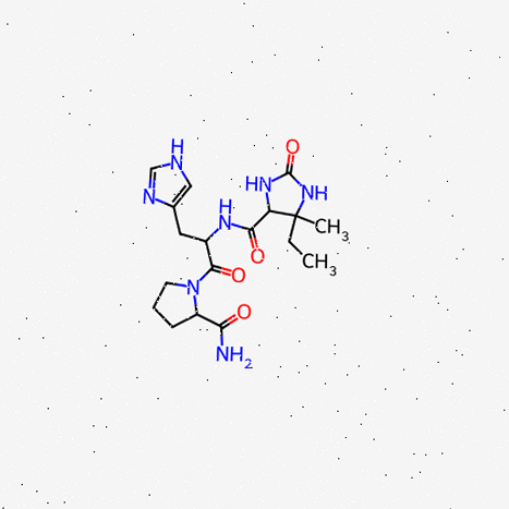 CCC1(C)NC(=O)NC1C(=O)NC(Cc1c[nH]cn1)C(=O)N1CCCC1C(N)=O